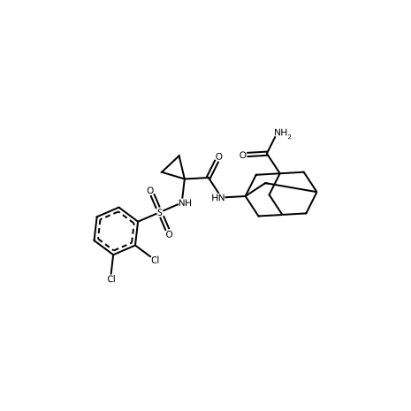 NC(=O)C12CC3CC(CC(NC(=O)C4(NS(=O)(=O)c5cccc(Cl)c5Cl)CC4)(C3)C1)C2